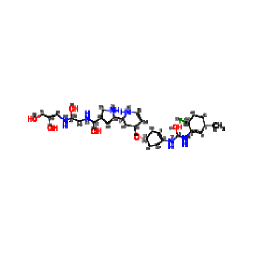 CC1C=C(NC(O)NC2=CC[C@@H](OC3C=CNC(C4CC(C(O)NC[C@H](O)NCC(O)CO)CN4)C3)CC2)[C@@H](F)CC1